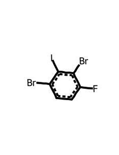 Fc1ccc(Br)c(I)c1Br